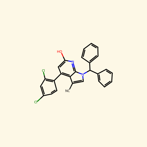 N#Cc1cn(C(c2ccccc2)c2ccccc2)c2nc(O)cc(-c3ccc(Cl)cc3Cl)c12